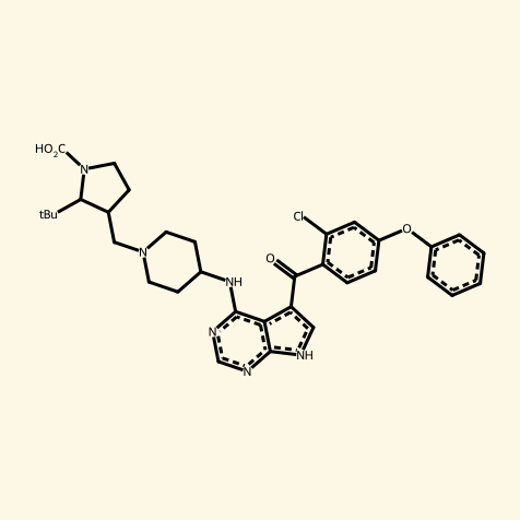 CC(C)(C)C1C(CN2CCC(Nc3ncnc4[nH]cc(C(=O)c5ccc(Oc6ccccc6)cc5Cl)c34)CC2)CCN1C(=O)O